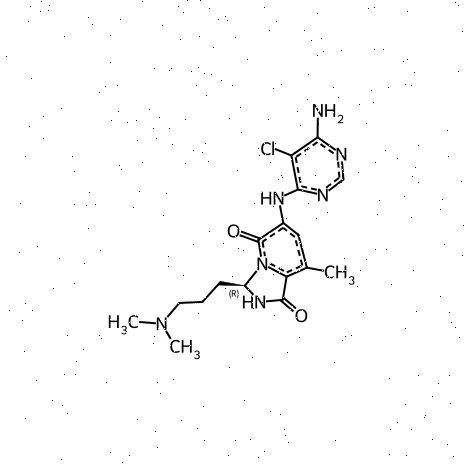 Cc1cc(Nc2ncnc(N)c2Cl)c(=O)n2c1C(=O)N[C@H]2CCCN(C)C